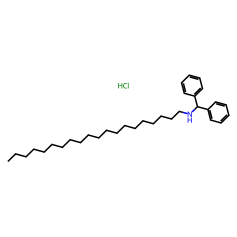 CCCCCCCCCCCCCCCCCCCCNC(c1ccccc1)c1ccccc1.Cl